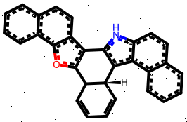 C1=CC2c3oc4c(ccc5ccccc54)c3-c3[nH]c4ccc5ccccc5c4c3[C@@H]2C=C1